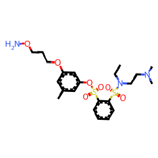 CCN(CCN(C)C)S(=O)(=O)c1ccccc1S(=O)(=O)Oc1cc(C)cc(OCCCON)c1